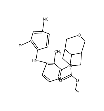 [C-]#[N+]c1ccc(Nc2ccnc(OC3C4COCC3CN(C(=O)OC(C)C)C4)c2C)c(F)c1